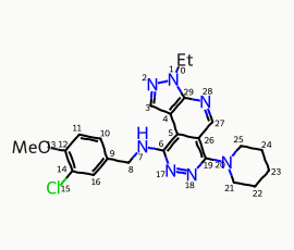 CCn1ncc2c3c(NCc4ccc(OC)c(Cl)c4)nnc(N4CCCCC4)c3cnc21